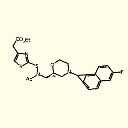 CCOC(=O)Cc1csc(SN(C[C@@H]2CN(C3c4ccc5cc(F)ccc5c43)CCO2)C(C)=O)n1